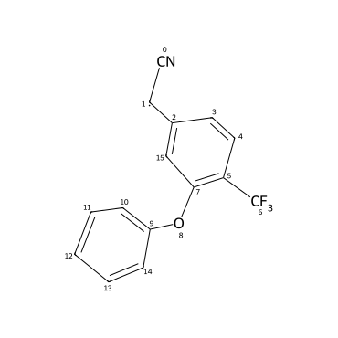 N#C[CH]c1ccc(C(F)(F)F)c(Oc2ccccc2)c1